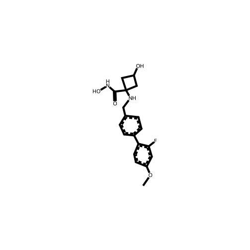 COc1ccc(-c2ccc(CNC3(C(=O)NO)CC(O)C3)cc2)c(F)c1